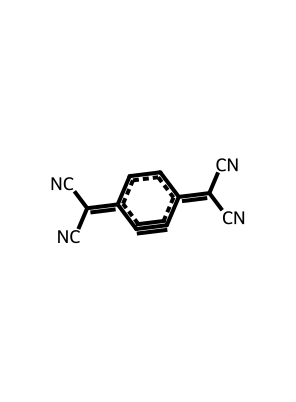 N#CC(C#N)=c1c#cc(=C(C#N)C#N)cc1